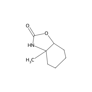 CC12CCCCC1OC(=O)N2